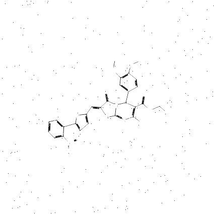 CCOC(=O)C1=C(C)N=c2s/c(=C\c3ccc(-c4ccccc4[N+](=O)O)o3)c(=O)n2C1c1ccc(OC)c(OC)c1